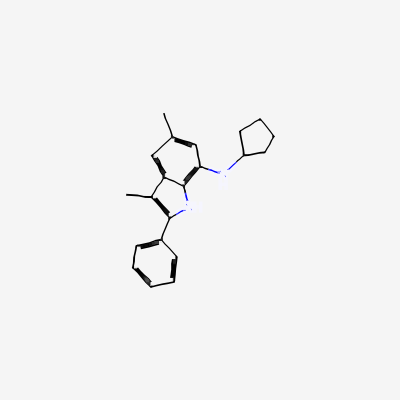 Cc1cc(NC2CCCC2)c2[nH]c(-c3ccccc3)c(C)c2c1